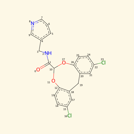 O=C(NCc1cccnc1)C1Oc2ccc(Cl)cc2Cc2cc(Cl)ccc2O1